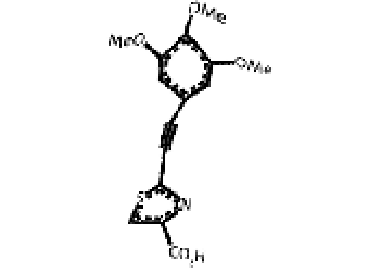 COc1cc(C#Cc2nc(C(=O)O)cs2)cc(OC)c1OC